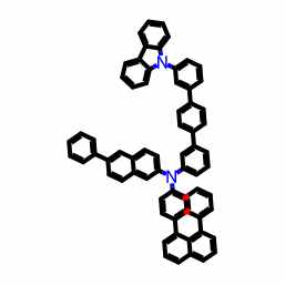 c1ccc(-c2ccc3cc(N(c4ccc(-c5cccc6cccc(-c7ccccc7)c56)cc4)c4cccc(-c5ccc(-c6cccc(-n7c8ccccc8c8ccccc87)c6)cc5)c4)ccc3c2)cc1